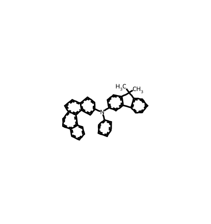 CC1(C)c2ccccc2-c2cc(N(c3ccccc3)c3ccc4ccc5ccc6ccccc6c5c4c3)ccc21